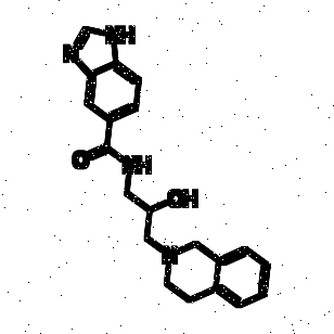 O=C(NCC(O)CN1CCc2ccccc2C1)c1ccc2[nH]cnc2c1